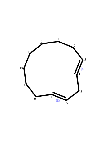 [CH]1CC/C=C/C/C=C/CCCC1